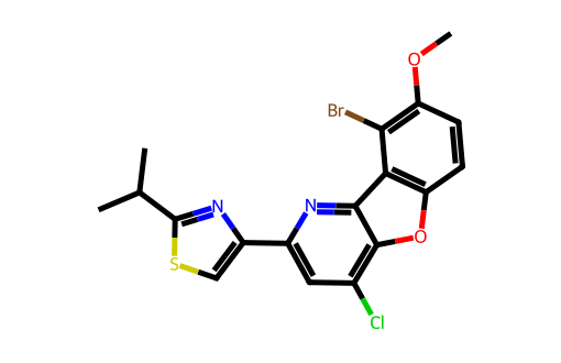 COc1ccc2oc3c(Cl)cc(-c4csc(C(C)C)n4)nc3c2c1Br